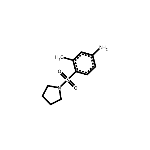 Cc1cc(N)ccc1S(=O)(=O)N1CCCC1